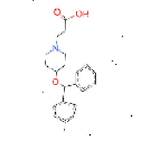 Cc1ccc(C(OC2CCN(CCC(=O)O)CC2)c2ccccc2)cc1